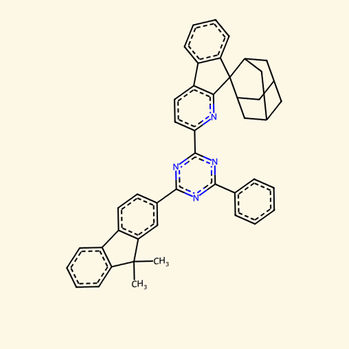 CC1(C)c2ccccc2-c2ccc(-c3nc(-c4ccccc4)nc(-c4ccc5c(n4)C4(c6ccccc6-5)C5CC6CC(C5)CC4C6)n3)cc21